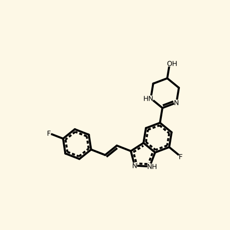 OC1CN=C(c2cc(F)c3[nH]nc(/C=C/c4ccc(F)cc4)c3c2)NC1